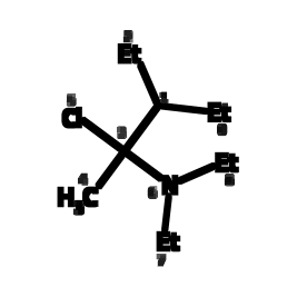 CCC(CC)C(C)(Cl)N(CC)CC